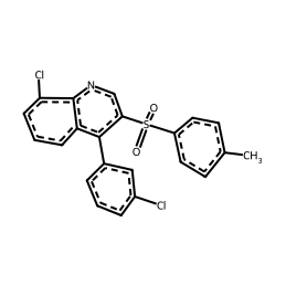 Cc1ccc(S(=O)(=O)c2cnc3c(Cl)cccc3c2-c2cccc(Cl)c2)cc1